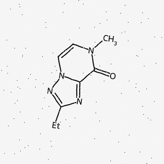 CCc1nc2c(=O)n(C)ccn2n1